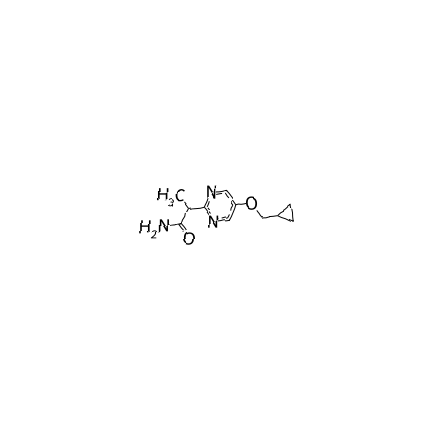 CC(C(N)=O)c1ncc(OCC2CC2)cn1